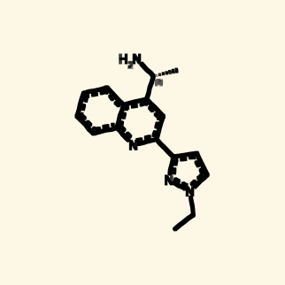 CCn1ccc(-c2cc([C@@H](C)N)c3ccccc3n2)n1